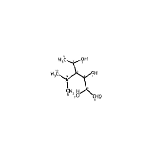 CC(O)C(C(O)C(O)C=O)N(C)C